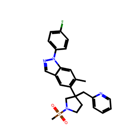 Cc1cc2c(cnn2-c2ccc(F)cc2)cc1C1(Cc2ccccn2)CCN(S(C)(=O)=O)C1